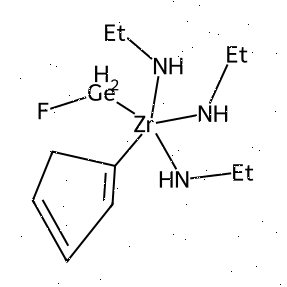 CC[NH][Zr]([NH]CC)([NH]CC)([GeH2][F])[C]1=CC=CC1